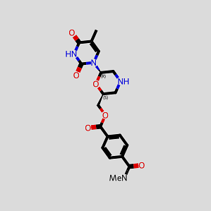 CNC(=O)c1ccc(C(=O)OC[C@@H]2CNC[C@H](n3cc(C)c(=O)[nH]c3=O)O2)cc1